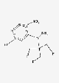 NC(c1cc(Cl)ncc1[N+](=O)[O-])C(CF)(CF)CF